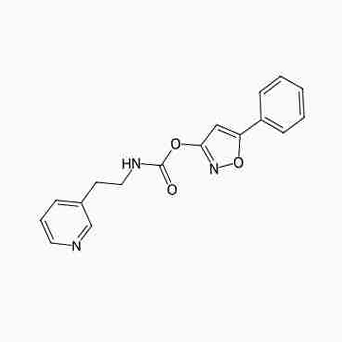 O=C(NCCc1cccnc1)Oc1cc(-c2ccccc2)on1